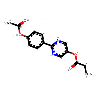 CCCCCCCCCCCC(=O)Oc1cnc(-c2ccc(OC(=O)CCCCCCCC)cc2)nc1